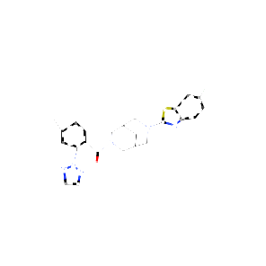 Cc1ccc(C(=O)N2CC3CC(C2)CN(c2nc4ccc(Cl)cc4s2)C3)c(-n2nccn2)c1